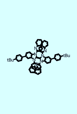 CC(C)(C)c1ccc(-c2ccc3c(c2)N(c2ccc4ccccc4n2)/C(=C2\N(c4ccc5ccccc5n4)c4ccc(-c5ccc(C(C)(C)C)cc5)cc4N2c2ccc4ccccc4n2)N3c2ccc3ccccc3n2)cc1